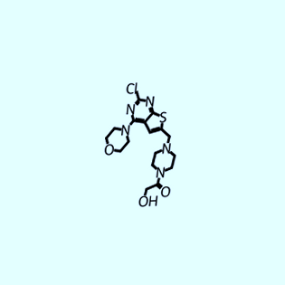 O=C(CO)N1CCN(Cc2cc3c(N4CCOCC4)nc(Cl)nc3s2)CC1